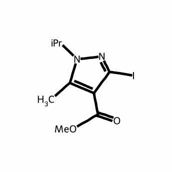 COC(=O)c1c(I)nn(C(C)C)c1C